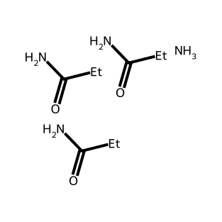 CCC(N)=O.CCC(N)=O.CCC(N)=O.N